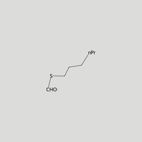 CCCCCCS[C]=O